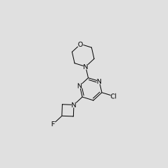 FC1CN(c2cc(Cl)nc(N3CCOCC3)n2)C1